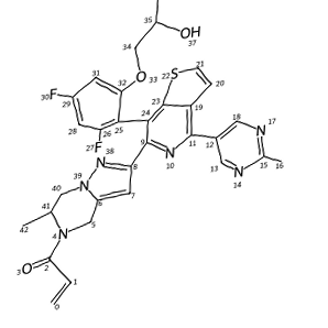 C=CC(=O)N1Cc2cc(-c3nc(-c4cnc(C)nc4)c4ccsc4c3-c3c(F)cc(F)cc3OCC(C)O)nn2CC1C